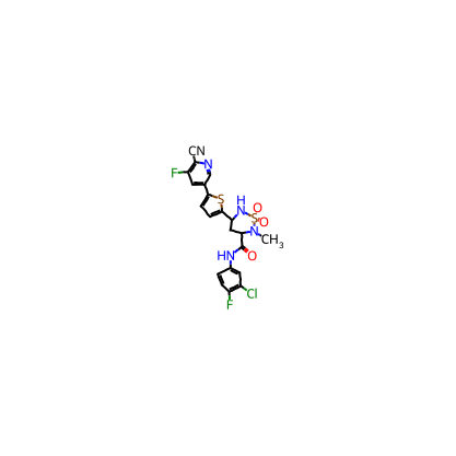 CN1C(C(=O)Nc2ccc(F)c(Cl)c2)CC(c2ccc(-c3cnc(C#N)c(F)c3)s2)NS1(=O)=O